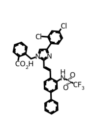 O=C(O)c1ccccc1Cn1cc(-c2ccc(Cl)cc2Cl)nc1C=Cc1ccc(-c2ccccc2)cc1NS(=O)(=O)C(F)(F)F